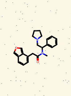 CN(C(=O)Cc1cccc2cocc12)C(CN1CCCC1)c1ccccc1